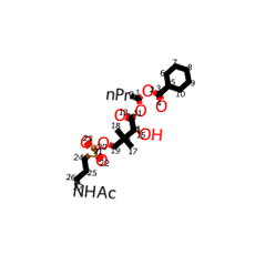 CCCC(OC(=O)C1CCCCC1)OC(=O)[C@H](O)C(C)(C)COS(=O)(=O)CCCNC(C)=O